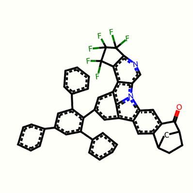 O=C1c2cc3c(cc2C2CCC1CC2)c1cc(-c2c(-c4ccccc4)cc(-c4ccccc4)cc2-c2ccccc2)cc2c4c5c(ncc4n3c12)C(F)(F)C(F)(F)C5(F)F